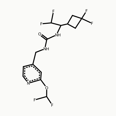 O=C(NCc1ccnc(OC(F)F)c1)NC(C(F)F)C1CC(F)(F)C1